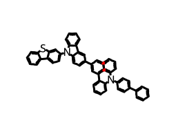 c1ccc(-c2ccc(N(c3ccccc3)c3ccccc3-c3cccc(-c4ccc5c(c4)c4ccccc4n5-c4ccc5c(c4)sc4ccccc45)c3)cc2)cc1